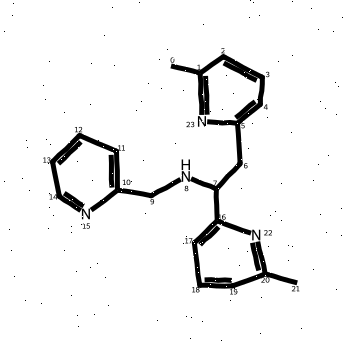 Cc1cccc(CC(NCc2ccccn2)c2cccc(C)n2)n1